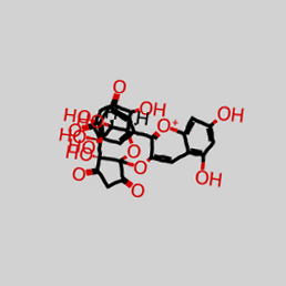 O=C1CC(=O)[C@]2(O)[C@H](O)[C@H](OC3(Oc4cc5c(O)cc(O)cc5[o+]c4-c4ccc(O)c(O)c4)C(=O)CC(=O)[C@]32O)C1O